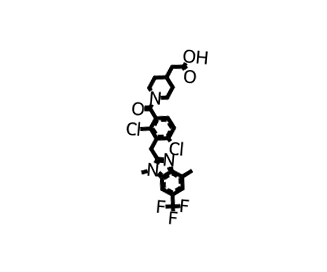 Cc1cc(C(F)(F)F)cc2c1nc(Cc1c(Cl)ccc(C(=O)N3CCC(CC(=O)O)CC3)c1Cl)n2C